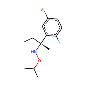 CC[C@@](C)(NOC(C)C)c1cc(Br)ccc1F